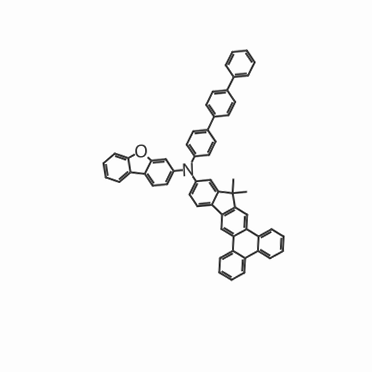 CC1(C)c2cc(N(c3ccc(-c4ccc(-c5ccccc5)cc4)cc3)c3ccc4c(c3)oc3ccccc34)ccc2-c2cc3c4ccccc4c4ccccc4c3cc21